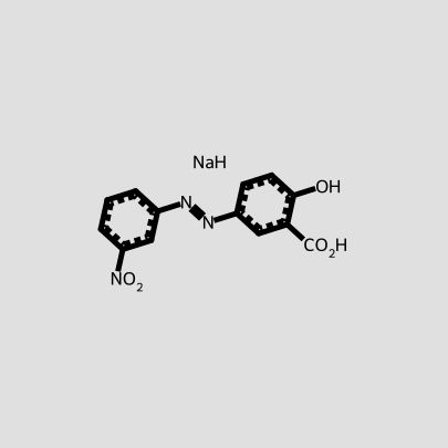 O=C(O)c1cc(/N=N/c2cccc([N+](=O)[O-])c2)ccc1O.[NaH]